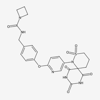 O=C1NC(=O)C2(CCCS(=O)(=O)N2c2ccc(Oc3ccc(CNC(=O)N4CCC4)cc3)nc2)C(=O)N1